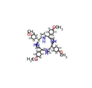 COc1ccc(/C2=C3\C=CC(N3)/C(c3ccc(OC)cc3)=c3/cc/c([nH]3)=C(\c3ccc(OC)cc3)C3C=C/C(=C(\c4ccc(OC)cc4)c4ccc2[nH]4)N3)cc1